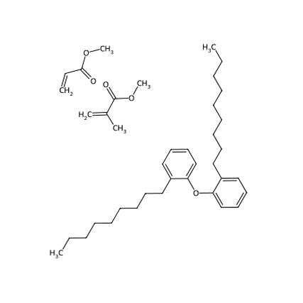 C=C(C)C(=O)OC.C=CC(=O)OC.CCCCCCCCCc1ccccc1Oc1ccccc1CCCCCCCCC